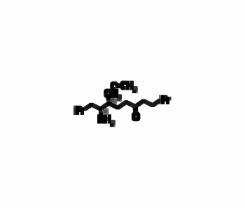 C=C.CC(C)CCC(=O)CC[C@H](O)[C@@H](N)CC(C)C